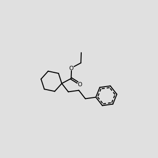 CCOC(=O)C1(CCCc2ccccc2)CCCCC1